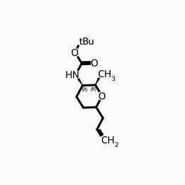 C=CCC1CC[C@@H](NC(=O)OC(C)(C)C)[C@@H](C)O1